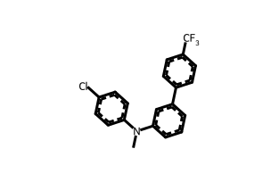 CN(c1ccc(Cl)cc1)c1cccc(-c2ccc(C(F)(F)F)cc2)c1